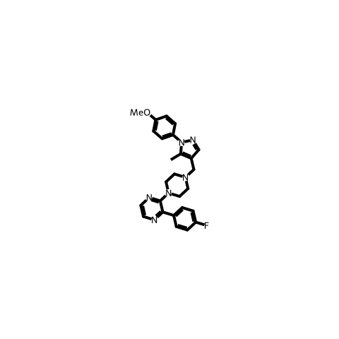 COc1ccc(-n2ncc(CN3CCN(c4nccnc4-c4ccc(F)cc4)CC3)c2C)cc1